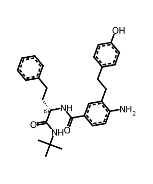 CC(C)(C)NC(=O)[C@H](CCc1ccccc1)NC(=O)c1ccc(N)c(CCc2ccc(O)cc2)c1